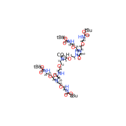 C[C@@H](C(=O)NCCOCCN(CCOCCNC(=O)[C@H](C)N(CCOCCNC(=O)OC(C)(C)C)CCOCCNC(=O)OC(C)(C)C)CC(=O)O)N(CCOCCNC(=O)OC(C)(C)C)CCOCCNC(=O)OC(C)(C)C